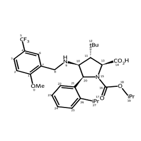 COc1ccc(C(F)(F)F)cc1CN[C@H]1[C@H](C(C)(C)C)[C@@H](C(=O)O)N(C(=O)OC(C)C)[C@H]1c1ccccc1C(C)C